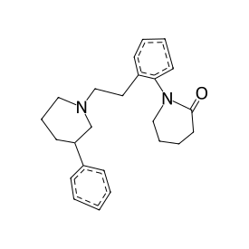 O=C1CCCCN1c1ccccc1CCN1CCCC(c2ccccc2)C1